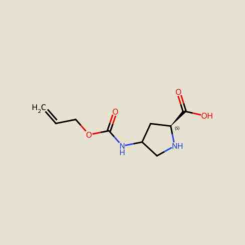 C=CCOC(=O)NC1CN[C@H](C(=O)O)C1